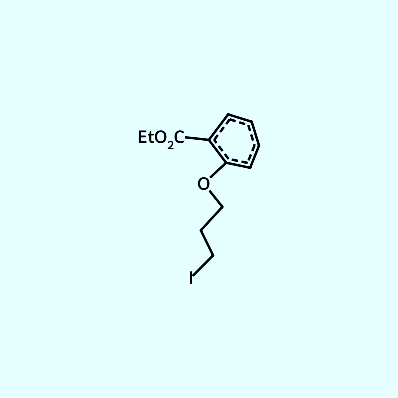 CCOC(=O)c1ccccc1OCCCI